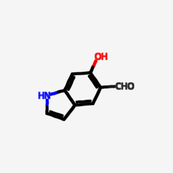 O=Cc1cc2cc[nH]c2cc1O